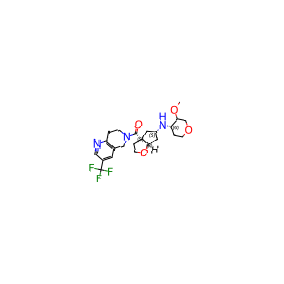 COC1COCC[C@@H]1N[C@@H]1C[C@H]2OCC[C@@]2(C(=O)N2CCc3ncc(C(F)(F)F)cc3C2)C1